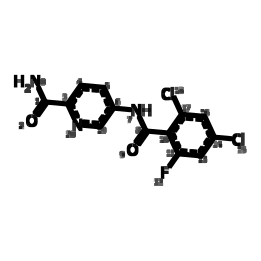 NC(=O)c1ccc(NC(=O)c2c(F)cc(Cl)cc2Cl)cn1